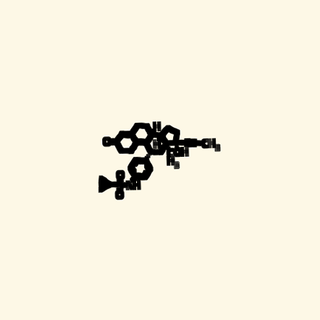 CC#C[C@]1(O)CC[C@H]2[C@@H]3CCC4=CC(=O)CCC4=C3[C@@H](c3ccc(NS(=O)(=O)C4CC4)cc3)C[C@@]21C